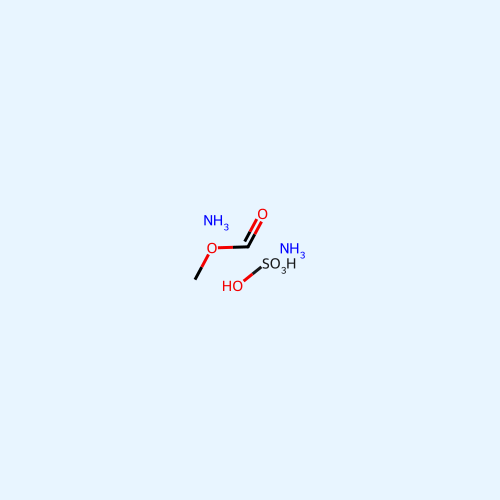 COC=O.N.N.O=S(=O)(O)O